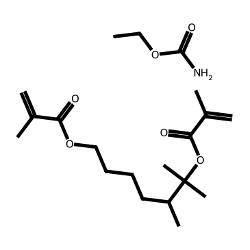 C=C(C)C(=O)OCCCCC(C)C(C)(C)OC(=O)C(=C)C.CCOC(N)=O